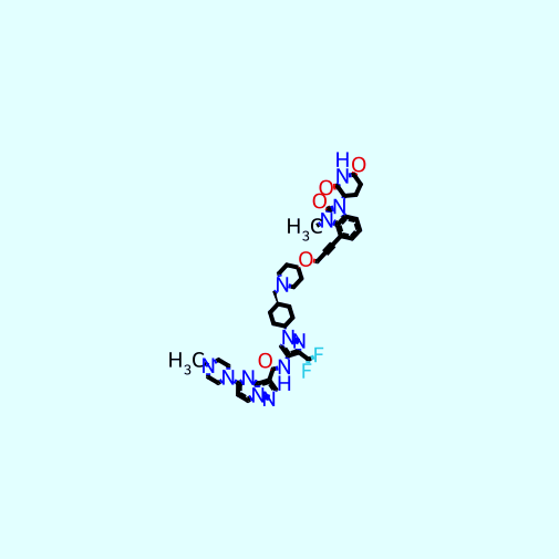 CN1CCN(c2ccn3ncc(C(=O)Nc4cn([C@H]5CC[C@H](CN6CCC(OCC#Cc7cccc8c7n(C)c(=O)n8C7CCC(=O)NC7=O)CC6)CC5)nc4C(F)F)c3n2)CC1